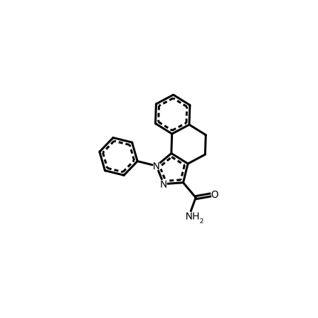 NC(=O)c1nn(-c2ccccc2)c2c1CCc1ccccc1-2